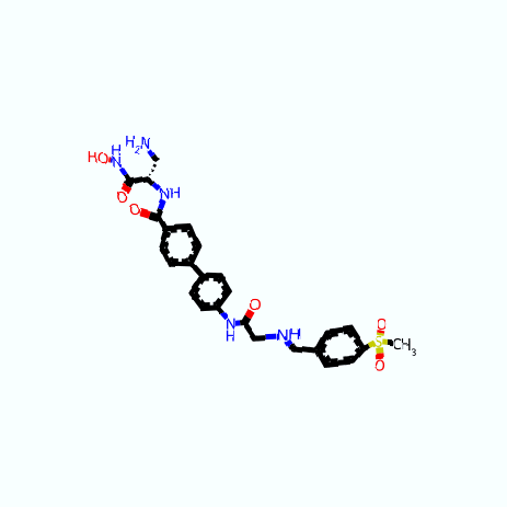 CS(=O)(=O)c1ccc(CNCC(=O)Nc2ccc(-c3ccc(C(=O)N[C@@H](CN)C(=O)NO)cc3)cc2)cc1